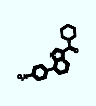 O=C(c1cnc2c(-c3ccc([N+](=O)[O-])cc3)cccn12)N1CCCCC1